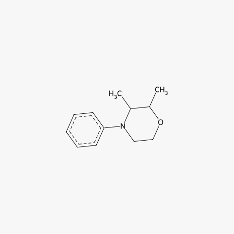 CC1OCCN(c2ccccc2)C1C